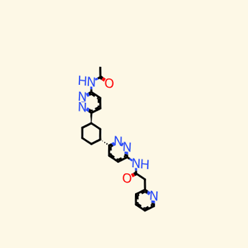 CC(=O)Nc1ccc([C@@H]2CCC[C@@H](c3ccc(NC(=O)Cc4ccccn4)nn3)C2)nn1